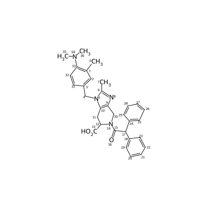 Cc1cc(Cn2c(C)nc3c2CC(C(=O)O)N(C(=O)C(c2ccccc2)c2ccccc2)C3)ccc1N(C)C